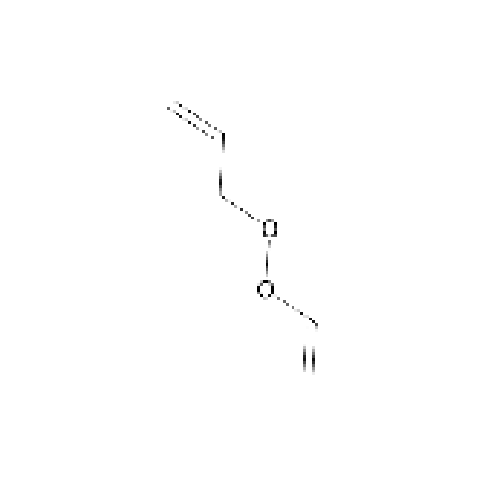 C=CCOOC=C